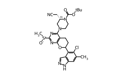 Cc1cc2[nH]ncc2c(C2CCc3c(nc([S+](C)[O-])nc3N3CCN(C(=O)OC(C)(C)C)[C@@H](CC#N)C3)O2)c1Cl